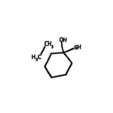 CC.OC1(S)CCCCC1